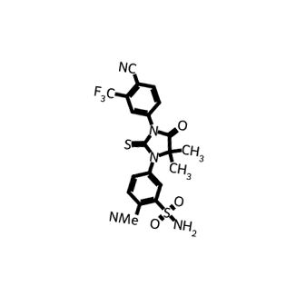 CNc1ccc(N2C(=S)N(c3ccc(C#N)c(C(F)(F)F)c3)C(=O)C2(C)C)cc1S(N)(=O)=O